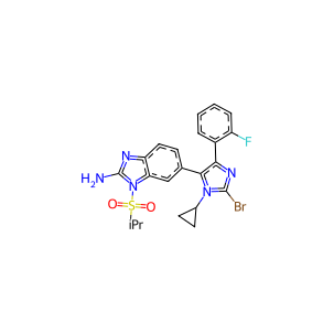 CC(C)S(=O)(=O)n1c(N)nc2ccc(-c3c(-c4ccccc4F)nc(Br)n3C3CC3)cc21